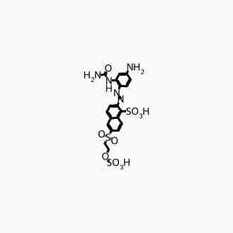 NC(=O)Nc1cc(N)ccc1/N=N/c1ccc2cc(S(=O)(=O)CCOS(=O)(=O)O)ccc2c1S(=O)(=O)O